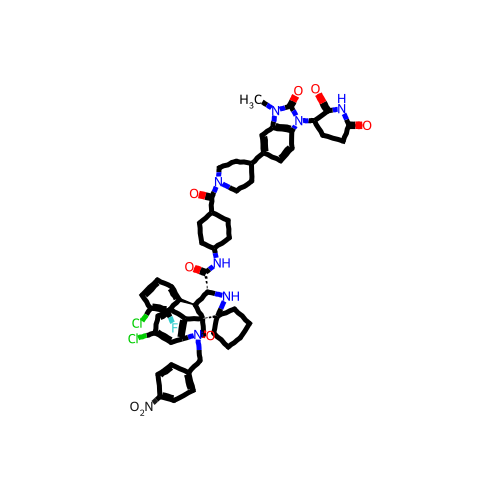 Cn1c(=O)n(C2CCC(=O)NC2=O)c2ccc(C3CCN(C(=O)C4CCC(NC(=O)[C@@H]5NC6(CCCCC6)[C@@]6(C(=O)N(Cc7ccc([N+](=O)[O-])cc7)c7cc(Cl)ccc76)[C@H]5c5cccc(Cl)c5F)CC4)CC3)cc21